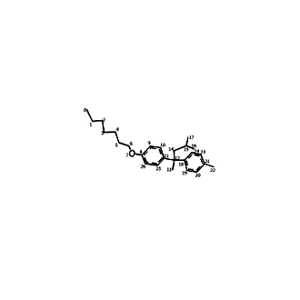 CCCCCCCOc1ccc(C(C)(CC(C)C)c2ccc(C)cc2)cc1